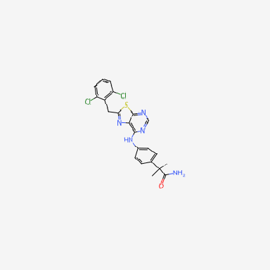 CC(C)(C(N)=O)c1ccc(Nc2ncnc3sc(Cc4c(Cl)cccc4Cl)nc23)cc1